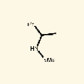 CSNC(C)C(C)C